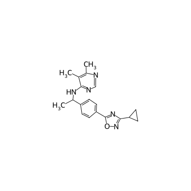 Cc1ncnc(NC(C)c2ccc(-c3nc(C4CC4)no3)cc2)c1C